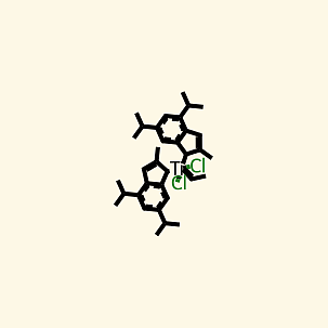 C[CH]=[Ti]([Cl])([Cl])([CH]1C(C)=Cc2c(C(C)C)cc(C(C)C)cc21)[CH]1C(C)=Cc2c(C(C)C)cc(C(C)C)cc21